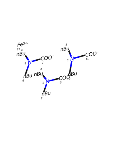 CCCCN(CCCC)C(=O)[O-].CCCCN(CCCC)C(=O)[O-].CCCCN(CCCC)C(=O)[O-].[Fe+3]